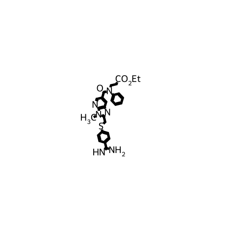 CCOC(=O)CCN(C(=O)c1cnc2c(c1)nc(CSc1ccc(C(=N)N)cc1)n2C)c1ccccc1